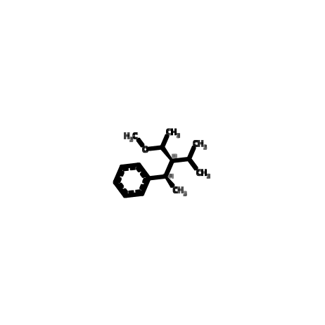 COC(C)[C@@H](C(C)C)[C@@H](C)c1ccccc1